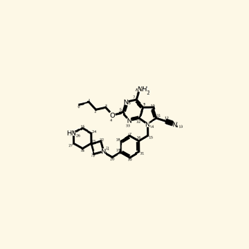 CCCCOc1nc(N)c2cc(C#N)n(Cc3ccc(CN4CC5(CCNCC5)C4)cc3)c2n1